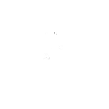 CC[C@@H](C)CC(=O)NC1CCCC1